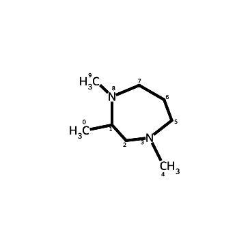 CC1CN(C)CCCN1C